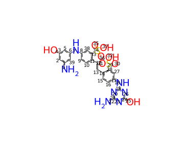 Nc1cc(O)cc(Nc2ccc(C=Cc3ccc(Nc4nc(N)nc(O)n4)cc3S(=O)(=O)O)c(S(=O)(=O)O)c2)c1